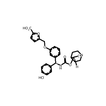 Cl.O=C(N[C@@H](c1ccccc1)c1cccc(OCc2ccc(C(=O)O)o2)c1)O[C@H]1CN2CCC1CC2